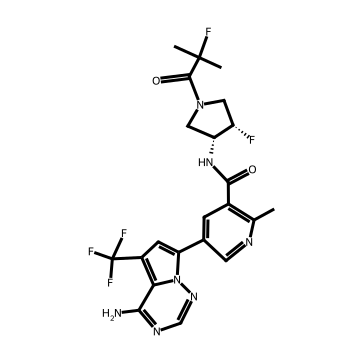 Cc1ncc(-c2cc(C(F)(F)F)c3c(N)ncnn23)cc1C(=O)N[C@@H]1CN(C(=O)C(C)(C)F)C[C@@H]1F